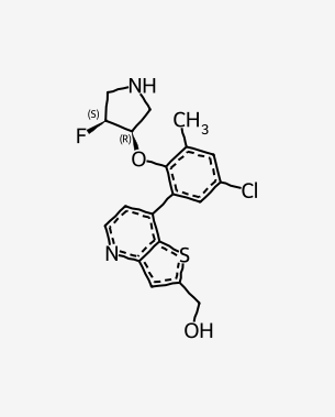 Cc1cc(Cl)cc(-c2ccnc3cc(CO)sc23)c1O[C@@H]1CNC[C@@H]1F